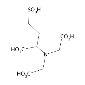 O=C(O)CN(CC(=O)O)C(CCS(=O)(=O)O)C(=O)O